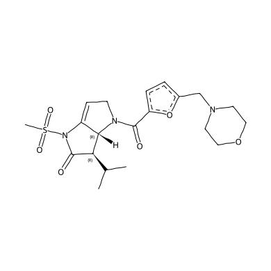 CC(C)[C@H]1C(=O)N(S(C)(=O)=O)C2=CCN(C(=O)c3ccc(CN4CCOCC4)o3)[C@@H]21